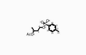 CC(=O)OC(C)CCOS(=O)(=O)c1ccc(C)cc1